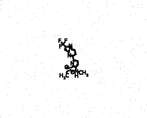 CCS(=O)(=O)c1nc(-c2ccn3nc(C(F)(F)F)cc3n2)ccc1NC